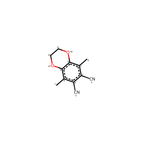 Cc1c(C#N)c(C#N)c(C)c2c1OCCO2